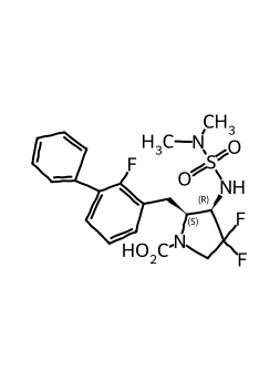 CN(C)S(=O)(=O)N[C@@H]1[C@H](Cc2cccc(-c3ccccc3)c2F)N(C(=O)O)CC1(F)F